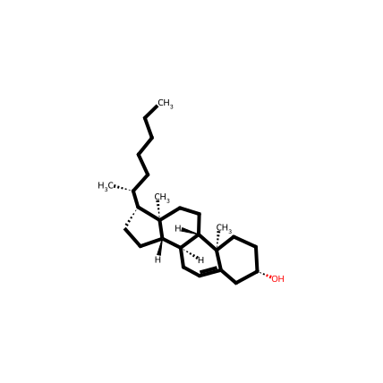 CCCCC[C@@H](C)[C@H]1CC[C@H]2[C@@H]3CC=C4C[C@@H](O)CC[C@]4(C)[C@H]3CC[C@]12C